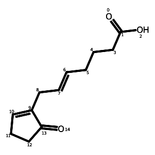 O=C(O)CCCC=CCC1=CCCC1=O